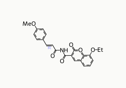 CCOc1cccc2cc(C(=O)NC(=O)/C=C/c3ccc(OC)cc3)c(=O)oc12